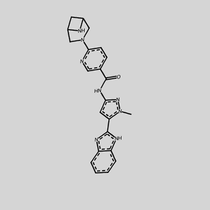 Cn1nc(NC(=O)c2ccc(N3CC4CC(C3)N4)nc2)cc1-c1nc2ccccc2[nH]1